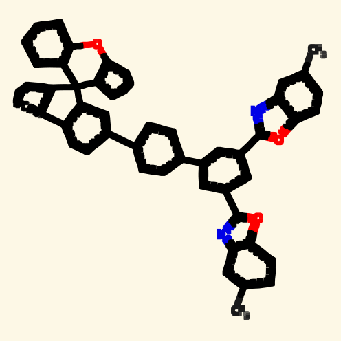 FC(F)(F)c1ccc2oc(-c3cc(-c4ccc(-c5ccc6c(c5)C5(c7ccccc7Oc7ccccc75)c5ccccc5-6)cc4)cc(-c4nc5cc(C(F)(F)F)ccc5o4)c3)nc2c1